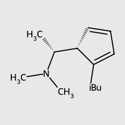 CCC(C)C1=CC=C[C@H]1[C@@H](C)N(C)C